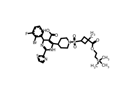 CC1(C(=O)OCC[Si](C)(C)C)CC(S(=O)(=O)N2CCC(C3=C(C(=O)O)C(c4cccc(F)c4Br)N=C(c4nccs4)N3)CC2)C1